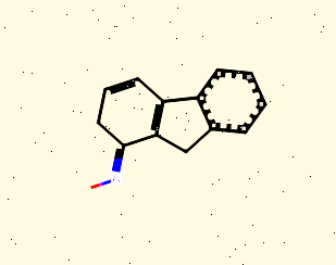 ON=C1CC=CC2=C1Cc1ccccc12